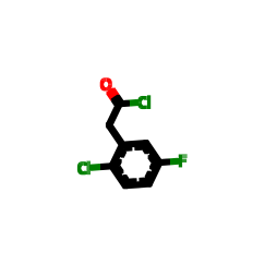 O=C(Cl)Cc1cc(F)ccc1Cl